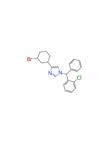 Clc1ccccc1C(c1ccccc1)n1cnc(C2CCCC(Br)C2)c1